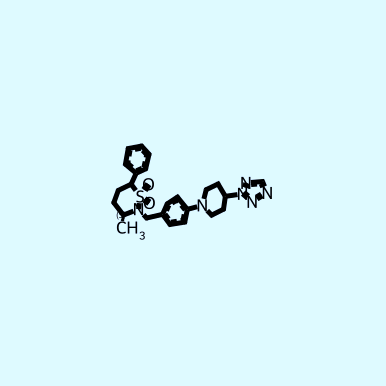 C[C@H]1CCC(c2ccccc2)S(=O)(=O)N1Cc1ccc(N2CCC(n3ncnn3)CC2)cc1